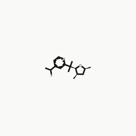 CC(F)c1ccnc(C(C)(C)[C@H]2O[C@@H](C)C[C@H]2C)c1